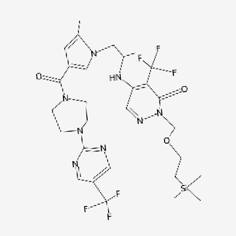 Cc1cc(C(=O)N2CCN(c3ncc(C(F)(F)F)cn3)CC2)cn1CC(C)Nc1cnn(COCC[Si](C)(C)C)c(=O)c1C(F)(F)F